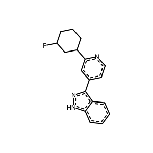 FC1CCCC(c2cc(-c3n[nH]c4ccccc34)ccn2)C1